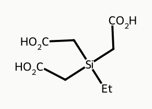 CC[Si](CC(=O)O)(CC(=O)O)CC(=O)O